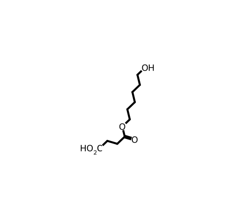 O=C(O)CCC(=O)OCCCCCCO